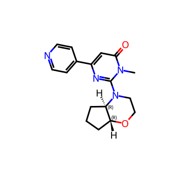 Cn1c(N2CCO[C@@H]3CCC[C@H]32)nc(-c2ccncc2)cc1=O